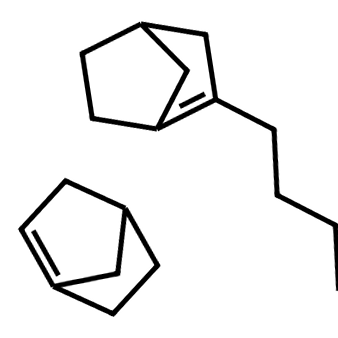 C1=C2CCC(C1)C2.CCCCC1=C2CCC(C1)C2